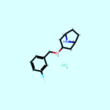 Cl.Fc1cccc(COC2CC3CCC(C2)N3)c1